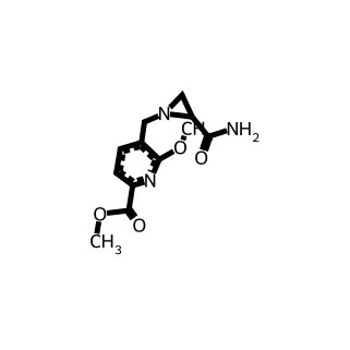 COC(=O)c1ccc(CN2CC2C(N)=O)c(OC)n1